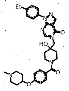 CCc1ccc(-n2ncc3c(=O)n(CC4(O)CCN(C(=O)c5ccc(OC6CCN(C)CC6)cc5)CC4)cnc32)cc1